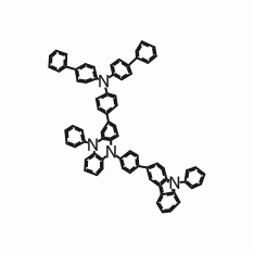 c1ccc(-c2ccc(N(c3ccc(-c4ccccc4)cc3)c3ccc(-c4ccc5c(c4)N(c4ccccc4)c4ccccc4N5c4ccc(-c5ccc6c(c5)c5ccccc5n6-c5ccccc5)cc4)cc3)cc2)cc1